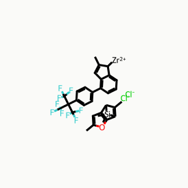 CC1=C2c3oc(C)cc3C1[Si]2(C)C.CC1=Cc2c(-c3ccc(C(C(F)(F)F)(C(F)(F)F)C(F)(F)F)cc3)cccc2[CH]1[Zr+2].[Cl-].[Cl-]